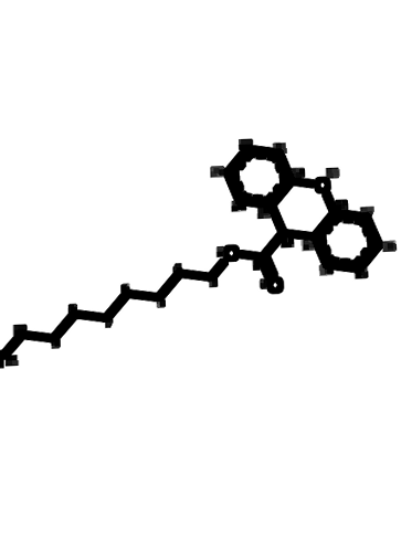 O=C(OCCCCCCCCCl)C1c2ccccc2Oc2ccccc21